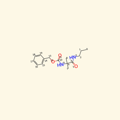 CCCNC(=O)C(C)(C)NC(=O)OCc1ccccc1